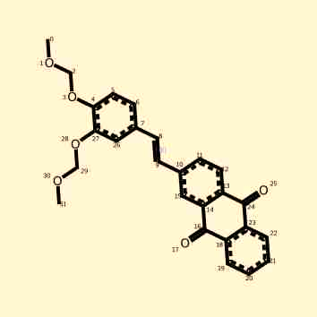 COCOc1ccc(/C=C/c2ccc3c(c2)C(=O)c2ccccc2C3=O)cc1OCOC